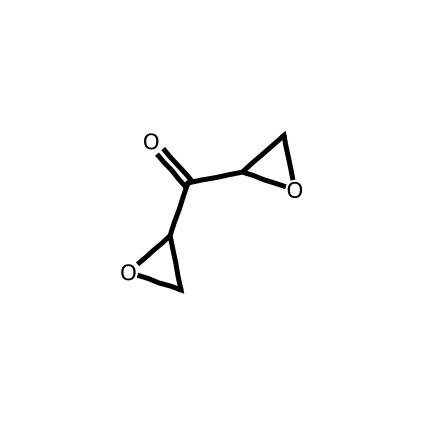 O=C(C1CO1)C1CO1